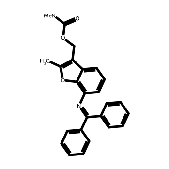 CNC(=O)OCc1c(C)oc2c(N=C(c3ccccc3)c3ccccc3)cccc12